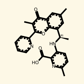 Cc1cc([C@@H](C)Nc2ccc(C)nc2C(=O)O)c2oc(-c3ccccn3)c(C)c(=O)c2c1